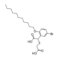 CCCCCCCCCCCOc1ccc(Br)cc1C(SCC(=O)O)C(=O)O